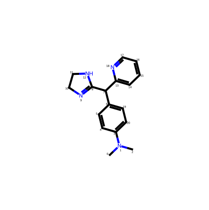 CN(C)c1ccc(C(C2=NCCN2)c2ccccn2)cc1